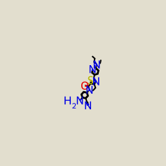 CCCN(CC)c1ccc(-c2nc3c(s2)C(=O)N(c2ccc(N)c(C#N)c2)CC3)cn1